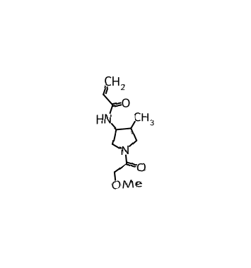 C=CC(=O)NC1CN(C(=O)COC)CC1C